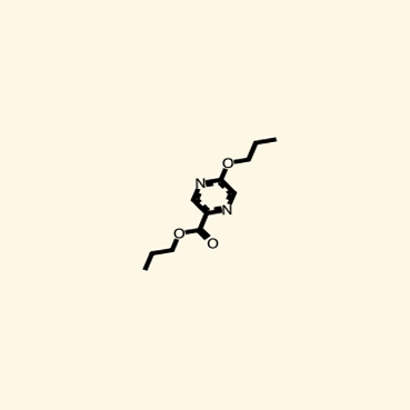 CCCOC(=O)c1cnc(OCCC)cn1